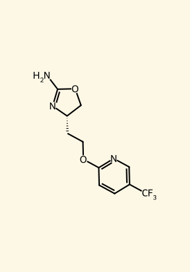 NC1=N[C@@H](CCOc2ccc(C(F)(F)F)cn2)CO1